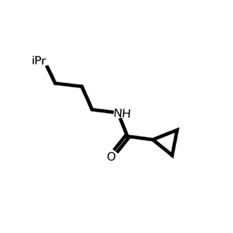 CC(C)CCCNC(=O)C1CC1